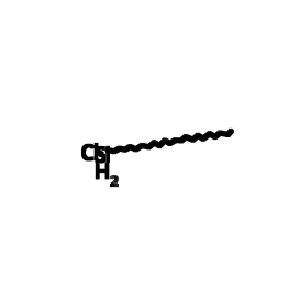 CCCCCCCCCCCCCCCCCCCCCCC[SiH2]Cl